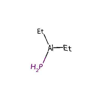 C[CH2][Al]([PH2])[CH2]C